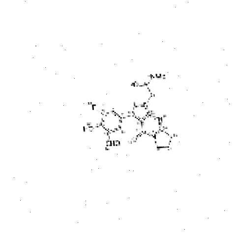 CNC(=O)Cn1cc(-c2cc(F)c(O)c(C=O)c2)c2c(=O)n3c(nc21)CCC3